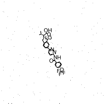 CC(C)C(C(=O)O)N1Cc2ccc(-c3ccc(NC(=O)c4ccc(OC(F)(F)F)cc4)nn3)cc2C1=O